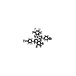 O=S(=O)(C(C=Cc1ccc(Br)cc1)c1c(F)c(F)c(F)c(F)c1F)C(C=Cc1ccc(Br)cc1)c1c(F)c(F)c(F)c(F)c1F